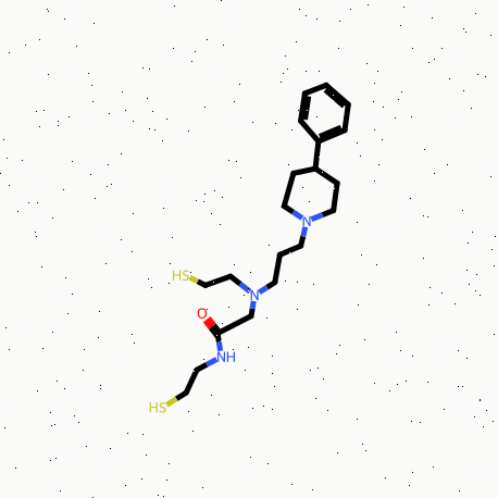 O=C(CN(CCS)CCCN1CCC(c2ccccc2)CC1)NCCS